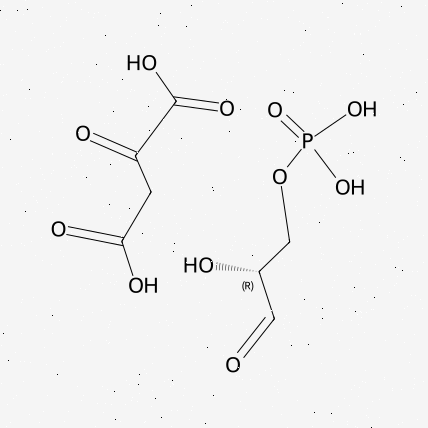 O=C(O)CC(=O)C(=O)O.O=C[C@H](O)COP(=O)(O)O